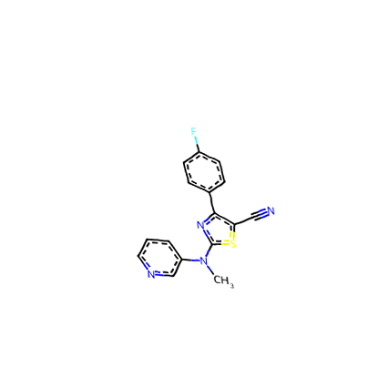 CN(c1cccnc1)c1nc(-c2ccc(F)cc2)c(C#N)s1